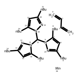 C=CC=C.CCCCc1cc(CCCC)n(C(n2nc(CCCC)cc2CCCC)n2nc(CCCC)cc2CCCC)n1.[Mn]